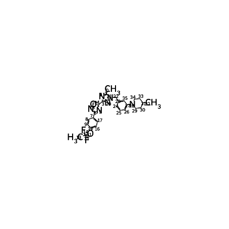 Cc1nc(-c2nc(-c3ccc(OC(C)(F)F)cc3)no2)nn1Cc1cccc(N2CCC(C)CC2)c1